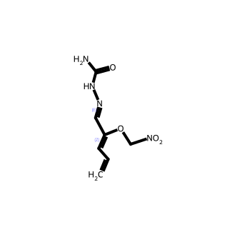 C=C/C=C(/C=N/NC(N)=O)OC[N+](=O)[O-]